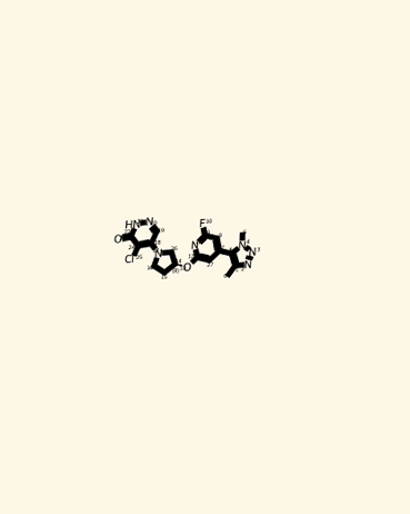 Cc1nnn(C)c1-c1cc(F)nc(O[C@@H]2CCN(c3cn[nH]c(=O)c3Cl)C2)c1